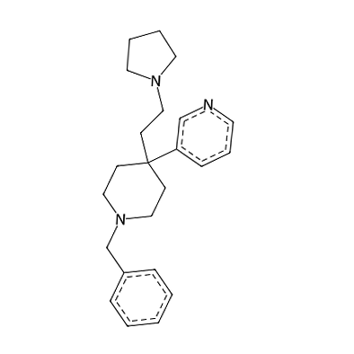 c1ccc(CN2CCC(CCN3CCCC3)(c3cccnc3)CC2)cc1